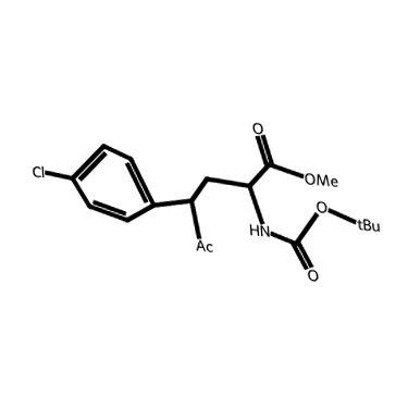 COC(=O)C(CC(C(C)=O)c1ccc(Cl)cc1)NC(=O)OC(C)(C)C